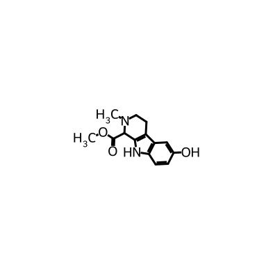 COC(=O)C1c2[nH]c3ccc(O)cc3c2CCN1C